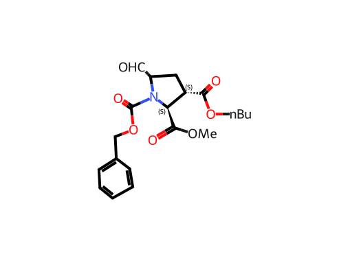 CCCCOC(=O)[C@H]1CC(C=O)N(C(=O)OCc2ccccc2)[C@@H]1C(=O)OC